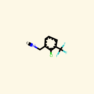 [C-]#[N+]Cc1cccc(C(F)(F)F)c1Cl